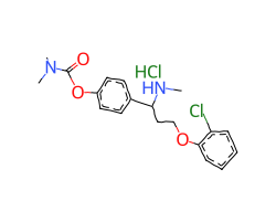 CNC(CCOc1ccccc1Cl)c1ccc(OC(=O)N(C)C)cc1.Cl